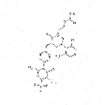 CC(=O)OCCOC(=O)[C@H](Cc1ccc(-c2c(C)cc(C(F)(F)F)n(C)c2=O)cc1)NC(=O)c1c(C)cccc1Cl